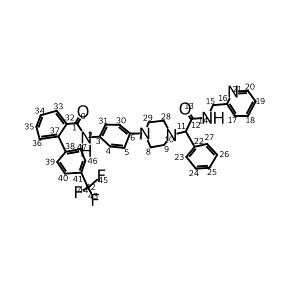 O=C(Nc1ccc(N2CCN(C(C(=O)NCc3ccccn3)c3ccccc3)CC2)cc1)c1ccccc1-c1ccc(C(F)(F)F)cc1